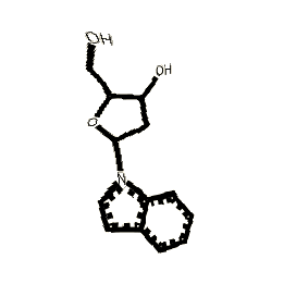 OCC1OC(n2ccc3ccccc32)CC1O